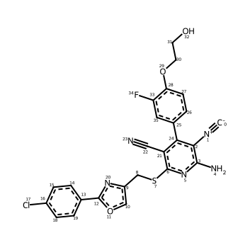 [C-]#[N+]c1c(N)nc(SCc2coc(-c3ccc(Cl)cc3)n2)c(C#N)c1-c1ccc(OCCO)c(F)c1